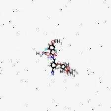 CCOC(C(=O)NCc1ccc(C#N)cc1O[C@@H]1C[C@@H]2OC(C)(C)O[C@@H]2C1)c1c(F)cc(OC)cc1F